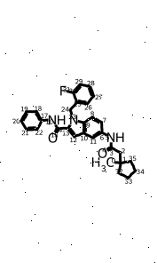 CC1(CC(=O)Nc2ccc3c(c2)cc(C(=O)Nc2ccccc2)n3Cc2ccccc2F)CCCC1